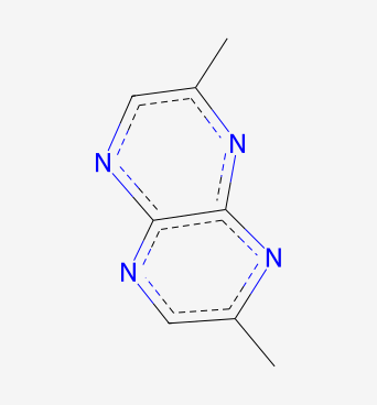 Cc1cnc2ncc(C)nc2n1